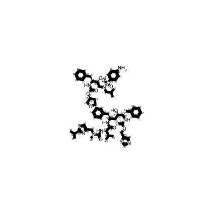 CC(C)CN(C[C@@H](O)[C@H](Cc1ccccc1)NC(=O)O[C@H]1CCOC1)S(=O)(=O)c1ccc(N)cc1.CC(C)c1nc(CN(C)C(=O)N[C@H](C(=O)N[C@@H](Cc2ccccc2)C[C@H](O)[C@H](Cc2ccccc2)NC(=O)OCc2cncs2)C(C)C)cs1